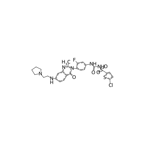 Cc1nc2cc(NCCN3CCCC3)ccc2c(=O)n1-c1ccc(NC(=O)NS(=O)(=O)c2ccc(Cl)s2)cc1F